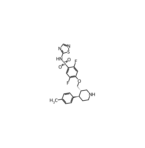 Cc1ccc([C@@H]2CCNC[C@H]2COc2cc(F)c(S(=O)(=O)Nc3ncns3)cc2F)cc1